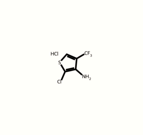 Cl.Nc1c(C(F)(F)F)csc1Cl